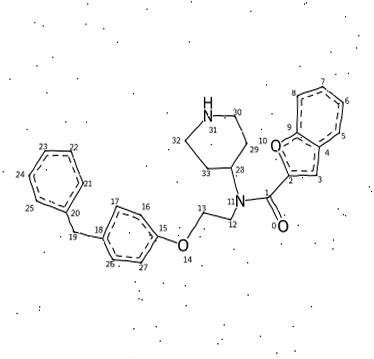 O=C(c1cc2ccccc2o1)N(CCOc1ccc(Cc2ccccc2)cc1)C1CCNCC1